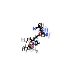 CC/C=C(\CCCCO[C@](C)(C=N)C1CC(C(C)C#N)=CN1)[C@@H]1CCCN1C(=O)OC(C)(C)C